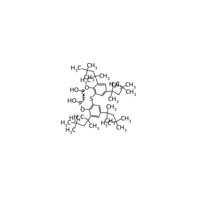 CC(C)(C)CC(C)(C)c1cc(Sc2cc(C(C)(C)CC(C)(C)C)cc(C(C)(C)CC(C)(C)C)c2OP(O)F)c(OP(O)F)c(C(C)(C)CC(C)(C)C)c1